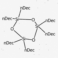 CCCCCCCCCC[Si]1(CCCCCCCCCC)O[Si](CCCCCCCCCC)(CCCCCCCCCC)O[Si](CCCCCCCCCC)(CCCCCCCCCC)O1